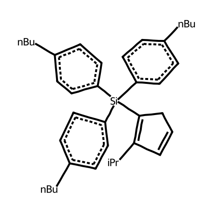 CCCCc1ccc([Si](C2=C(C(C)C)C=CC2)(c2ccc(CCCC)cc2)c2ccc(CCCC)cc2)cc1